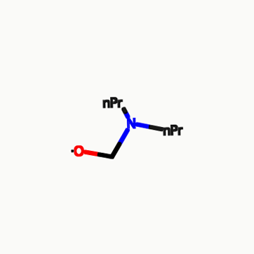 CCCN(C[O])CCC